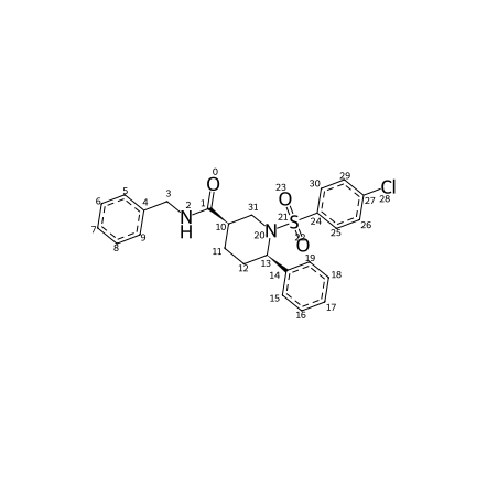 O=C(NCc1ccccc1)[C@@H]1CC[C@H](c2ccccc2)N(S(=O)(=O)c2ccc(Cl)cc2)C1